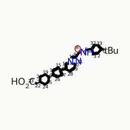 CC(C)(C)c1ccc(CNC(=O)c2cn3cc(-c4ccc([C@H]5CC[C@H](CC(=O)O)CC5)cc4)ccc3n2)cc1